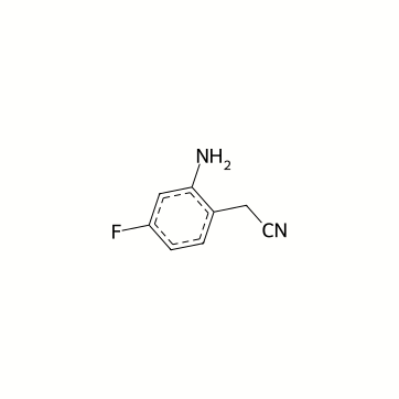 N#CCc1ccc(F)cc1N